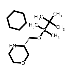 C1CCCCC1.CC(C)(C)[Si](C)(C)OC[C@@H]1COCCN1